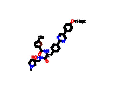 CCCCCCCOc1ccc(-c2cnc(-c3ccc(C[C@H](NC(=O)c4ccc(C(C)(C)C)s4)C(=O)NCC4(O)CCN(C)C4)cc3)nc2)cc1